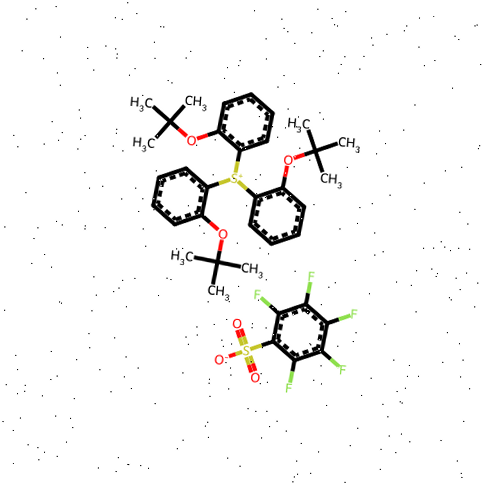 CC(C)(C)Oc1ccccc1[S+](c1ccccc1OC(C)(C)C)c1ccccc1OC(C)(C)C.O=S(=O)([O-])c1c(F)c(F)c(F)c(F)c1F